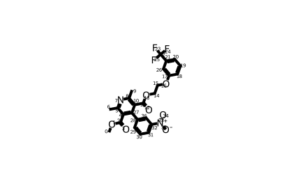 COC(=O)c1c(C)nc(C)c(C(=O)OCCOc2cccc(C(F)(F)F)c2)c1-c1cccc([N+](=O)[O-])c1